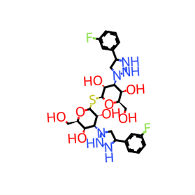 OC[C@H]1O[C@@H](S[C@@H]2O[C@H](CO)[C@H](O)[C@H](N3CC(c4cccc(F)c4)NN3)[C@H]2O)[C@H](O)[C@@H](N2CC(c3cccc(F)c3)NN2)[C@H]1O